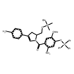 COc1cc(C(=O)N2C=C(c3ccc(N)cc3)CC2CO[Si](C)(C)C(C)(C)C)c([N+](=O)[O-])cc1O[Si](C(C)C)(C(C)C)C(C)C